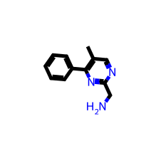 Cc1cnc(CN)nc1-c1ccccc1